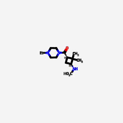 CCN1CCN(C(=O)[C@H]2C[C@@H](NC(=O)O)C2(C)C)CC1